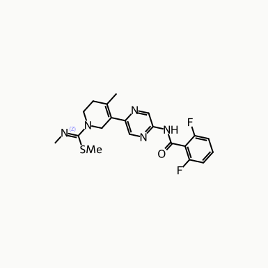 C/N=C(\SC)N1CCC(C)=C(c2cnc(NC(=O)c3c(F)cccc3F)cn2)C1